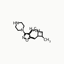 C/C=c1/c(N2CCNCC2)no/c1=C/C1C(C)CC1C